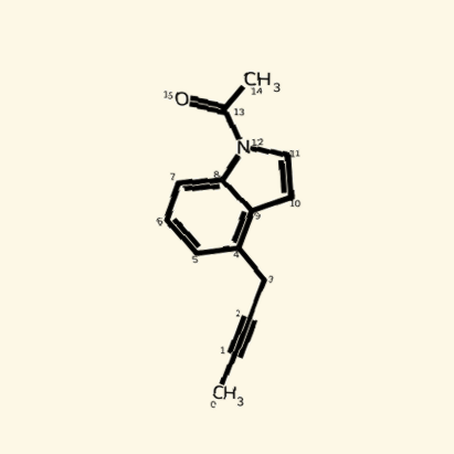 CC#CCc1cccc2c1ccn2C(C)=O